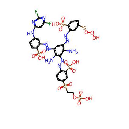 Nc1c(/N=N/c2cc(Nc3cc(F)nc(F)n3)ccc2S(=O)(=O)O)cc(/N=N/c2cc(SOOO)ccc2S(=O)(=O)O)c(N)c1/N=N/c1ccc(S(=O)(=O)CCOS(=O)(=O)O)cc1S(=O)(=O)O